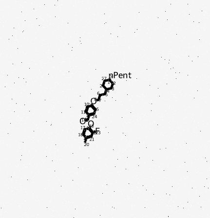 CCCCCC1CCC(CCCOc2ccc(C(=O)Oc3ccc(C)cc3F)cc2)CC1